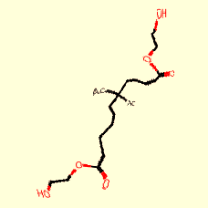 CC(=O)C(CCCCC(=O)OCCO)(CCC(=O)OCCO)C(C)=O